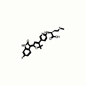 CSCC[C@H](Nc1ccc(C2=C/C(=C3\C(=O)Nc4cc(F)ccc43)OC2(C)C)cn1)C(=O)O